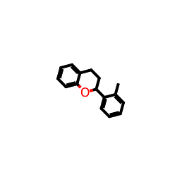 Cc1ccccc1C1CCc2ccccc2O1